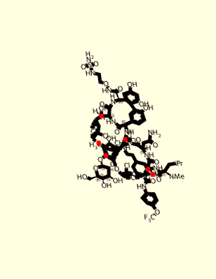 CN[C@H](CC(C)C)C(=O)N[C@H]1C(=O)N[C@@H](CC(N)=O)C(=O)N[C@H]2C(=O)N[C@H]3C(=O)N[C@H](C(=O)N[C@@H](C(=O)NOCCNS(N)(=O)=O)c4cc(O)cc(O)c4-c4cc3ccc4O)[C@H](O)c3ccc(c(Cl)c3)Oc3cc2cc(c3O[C@@H]2O[C@H](CO)[C@@H](O)[C@H](O)[C@H]2O[C@H]2C[C@](C)(NCCC3CCN(C(=O)Nc4ccc(OC(F)(F)F)cc4)CC3)[C@H](O)[C@H](C)O2)Oc2ccc(cc2Cl)[C@H]1O